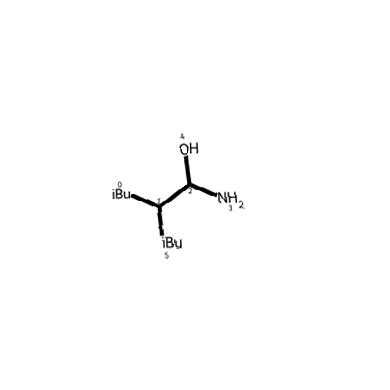 CCC(C)C(C(N)O)C(C)CC